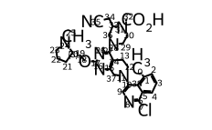 Cc1cccc2c(Cl)ncc(N3CCc4c(nc(OC[C@@H]5CCCN5C)nc4N4CCN(C(=O)O)C(CC#N)C4)C3)c12